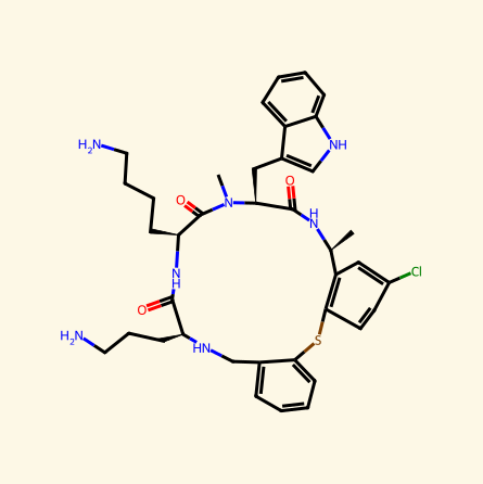 C[C@@H]1NC(=O)[C@H](Cc2c[nH]c3ccccc23)N(C)C(=O)[C@H](CCCCN)NC(=O)[C@H](CCCN)NCc2ccccc2Sc2ccc(Cl)cc21